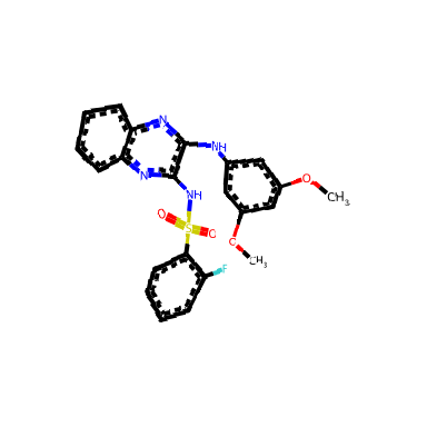 COc1cc(Nc2nc3ccccc3nc2NS(=O)(=O)c2ccccc2F)cc(OC)c1